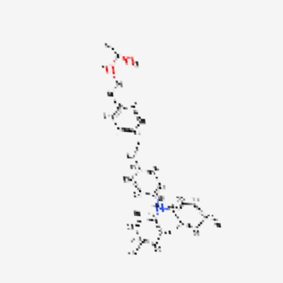 CC(=O)OCCc1ccc(CCc2ccc(N(c3ccc(C)cc3)c3ccc(C)cc3)cc2)cc1